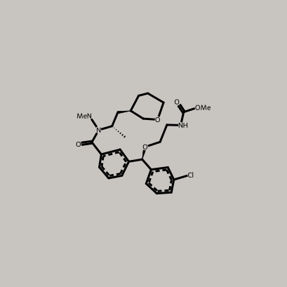 CNN(C(=O)c1cccc([C@@H](OCCNC(=O)OC)c2cccc(Cl)c2)c1)[C@@H](C)C[C@H]1CCCOC1